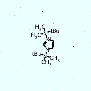 CC(C)(C)[Si](C)(C)n1cc[n+]([Si](C)(C)C(C)(C)C)c1